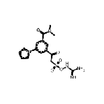 CN(C)C(=O)c1cc(C(=O)CS(=O)(=O)ONC(=N)N)cc(-n2cccc2)c1